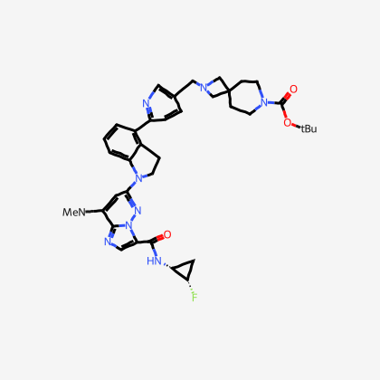 CNc1cc(N2CCc3c(-c4ccc(CN5CC6(CCN(C(=O)OC(C)(C)C)CC6)C5)cn4)cccc32)nn2c(C(=O)N[C@@H]3C[C@@H]3F)cnc12